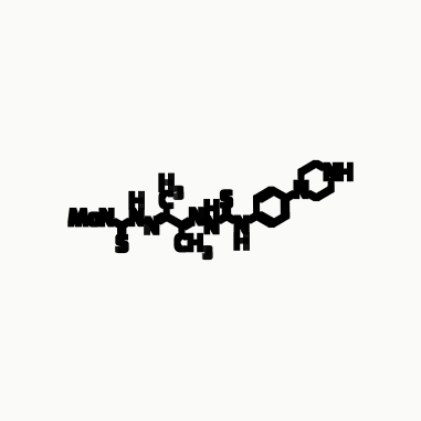 CNC(=S)N/N=C(C)/C(C)=N/NC(=S)Nc1ccc(N2CCNCC2)cc1